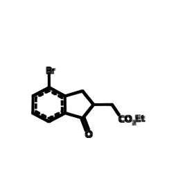 CCOC(=O)CC1Cc2c(Br)cccc2C1=O